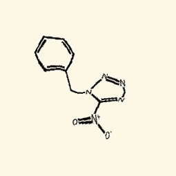 O=[N+]([O-])c1nnnn1Cc1ccccc1